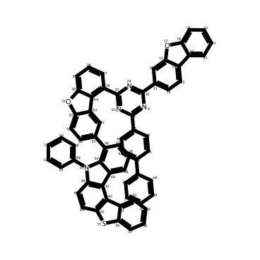 c1ccc(-c2ccc(-c3nc(-c4ccc5c(c4)oc4ccccc45)nc(-c4cccc5oc6ccc(-c7cccc8c9c%10c(ccc9n(-c9ccccc9)c78)sc7ccccc7%10)cc6c45)n3)cc2)cc1